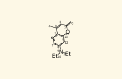 C=C1C=C(C)c2ccc(N(CC)CC)cc2O1